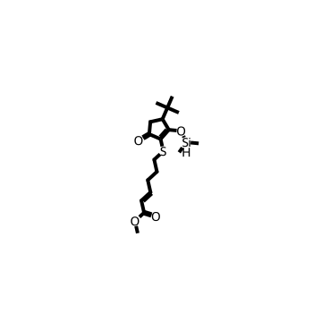 COC(=O)C=CCCCSC1=C(O[SiH](C)C)C(C(C)(C)C)CC1=O